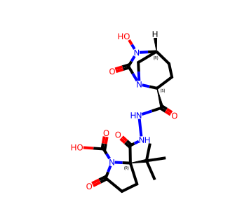 CC(C)(C)[C@@]1(C(=O)NNC(=O)[C@@H]2CC[C@@H]3CN2C(=O)N3O)CCC(=O)N1C(=O)O